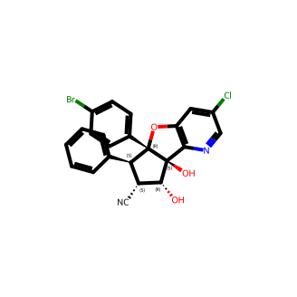 N#C[C@H]1[C@@H](O)[C@@]2(O)c3ncc(Cl)cc3O[C@@]2(c2ccc(Br)cc2)[C@@H]1c1ccccc1